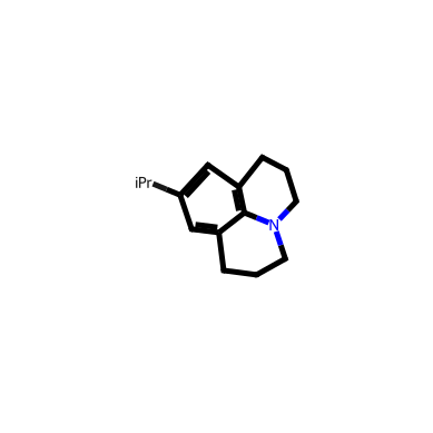 CC(C)c1cc2c3c(c1)CCCN3CCC2